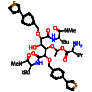 CNC(=O)[C@@H](NC(=O)[C@H](OCc1ccc(-c2ccsc2)cc1)[C@H](O)[C@@H](OC(C)OC(=O)[C@@H](N)C(C)C)[C@@H](OCc1ccc(-c2ccsc2)cc1)C(=O)N[C@H](C(=O)NC)C(C)(C)C)C(C)(C)C